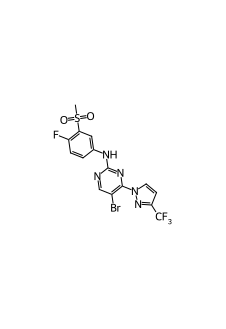 CS(=O)(=O)c1cc(Nc2ncc(Br)c(-n3ccc(C(F)(F)F)n3)n2)ccc1F